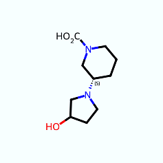 O=C(O)N1CCC[C@H](N2CCC(O)C2)C1